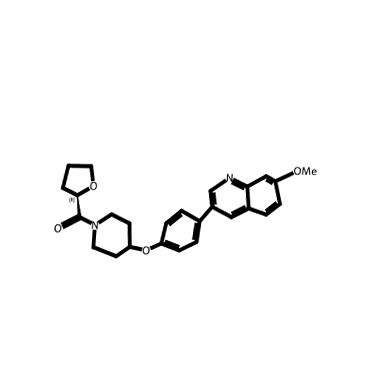 COc1ccc2cc(-c3ccc(OC4CCN(C(=O)[C@H]5CCCO5)CC4)cc3)cnc2c1